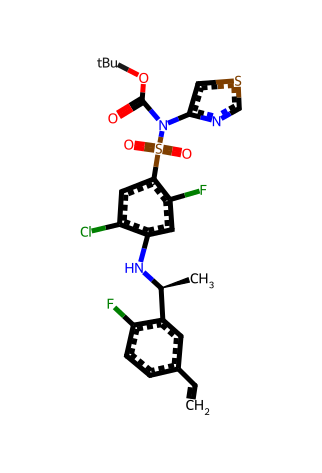 C=Cc1ccc(F)c([C@H](C)Nc2cc(F)c(S(=O)(=O)N(C(=O)OC(C)(C)C)c3cscn3)cc2Cl)c1